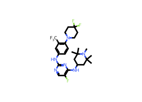 CN1C(C)(C)CC(Nc2nc(Nc3ccc(N4CCC(F)(F)CC4)c(C(F)(F)F)c3)ncc2F)CC1(C)C